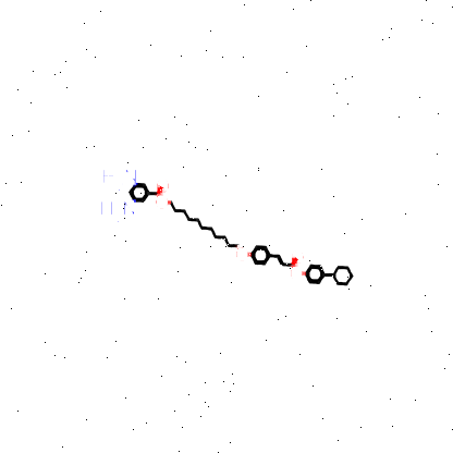 Nc1cc(N)cc(C(=O)OCCCCCCCCCCCOc2ccc(C=CC(=O)Oc3ccc(C4CCCCC4)cc3)cc2)c1